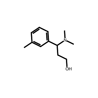 Cc1cccc(C(CCO)N(C)C)c1